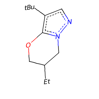 CCC1COc2c(C(C)(C)C)cnn2C1